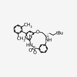 Cc1cccc(C)c1-c1cc2nc(n1)NS(=O)(=O)c1cccc(c1)N[C@@H](CCC(C)(C)C)CO2